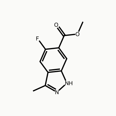 COC(=O)c1cc2[nH]nc(C)c2cc1F